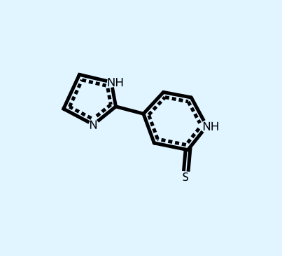 S=c1cc(-c2ncc[nH]2)cc[nH]1